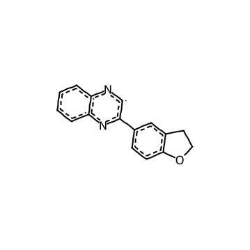 [c]1nc2ccccc2nc1-c1ccc2c(c1)CCO2